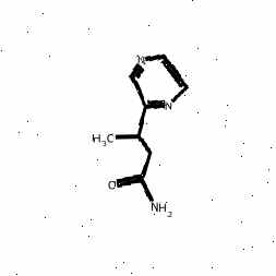 CC(CC(N)=O)c1cnccn1